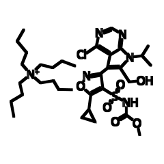 CCCC[N+](CCCC)(CCCC)CCCC.COC(=O)NS(=O)(=O)c1c(-c2c(CO)n(C(C)C)c3ncnc(Cl)c23)noc1C1CC1